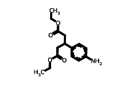 CCOC(=O)CC(CC(=O)OCC)c1ccc(N)cc1